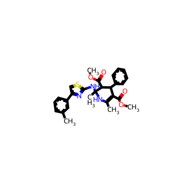 COC(=O)C1=C(C)NC(C)(Nc2nc(-c3cccc(C)c3)cs2)C(C(=O)OC)C1c1ccccc1